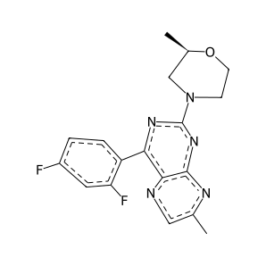 Cc1cnc2c(-c3ccc(F)cc3F)nc(N3CCO[C@H](C)C3)nc2n1